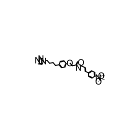 O=[N+]([O-])c1ccc(/C=C/c2nc(COc3ccc(CCCCn4ccnn4)cc3)co2)cc1